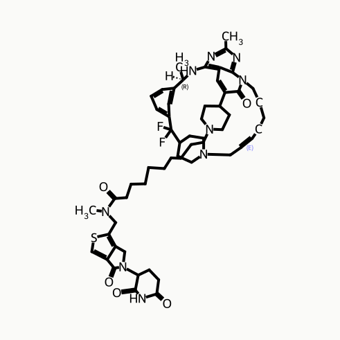 Cc1nc2c3cc(C4CCN(CCCCCCCCCC(=O)N(C)Cc5scc6c5CN(C5CCC(=O)NC5=O)C6=O)CC4)c(=O)n(c3n1)CCCC/C=C/CN1CCC(CC1)C(F)(F)c1cccc(c1)[C@@H](C)N2